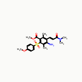 COC(=O)c1c(C)c(C=CC(=O)N(C)C)c(N)c(C)c1S(=O)(=O)c1ccc(OC)cc1